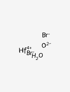 O.[Br-].[Br-].[Hf+4].[O-2]